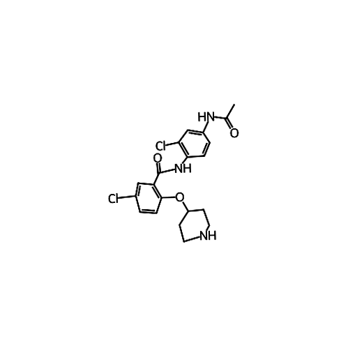 CC(=O)Nc1ccc(NC(=O)c2cc(Cl)ccc2OC2CCNCC2)c(Cl)c1